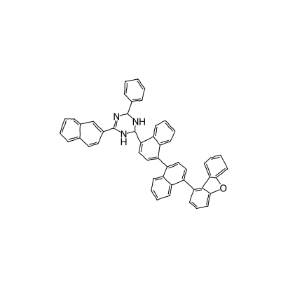 c1ccc(C2N=C(c3ccc4ccccc4c3)NC(c3ccc(-c4ccc(-c5cccc6oc7ccccc7c56)c5ccccc45)c4ccccc34)N2)cc1